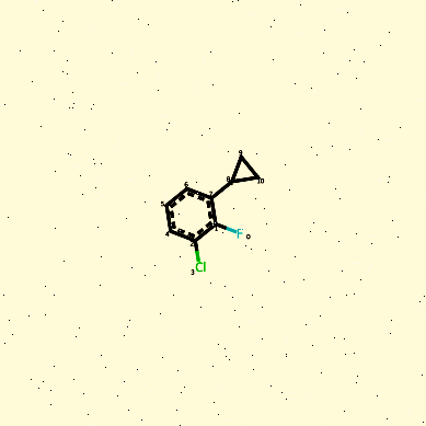 Fc1c(Cl)cccc1[C]1CC1